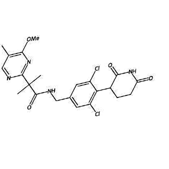 COc1nc(C(C)(C)C(=O)NCc2cc(Cl)c(C3CCC(=O)NC3=O)c(Cl)c2)ncc1C